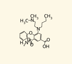 CCCCN(CCN(C)C)c1cc(C(=O)O)cc(S(N)(=O)=O)c1Oc1ccccc1